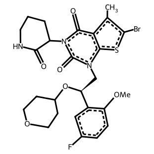 COc1ccc(F)cc1[C@H](Cn1c(=O)n(C2CCCNC2=O)c(=O)c2c(C)c(Br)sc21)OC1CCOCC1